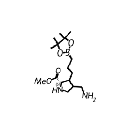 COC(=O)[C@H]1NCC(CN)C1CCCB1OC(C)(C)C(C)(C)O1